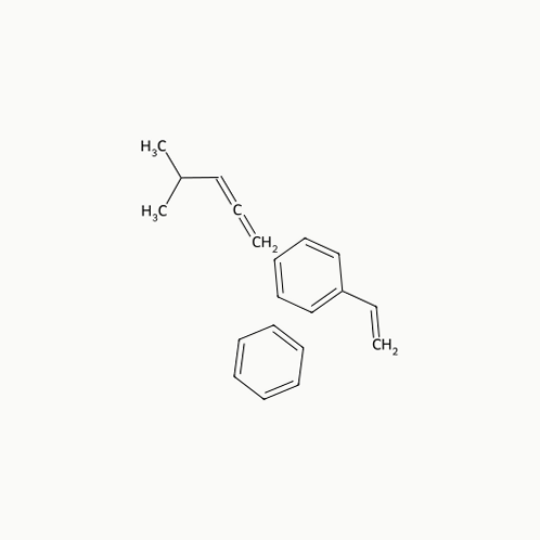 C=C=CC(C)C.C=Cc1ccccc1.c1ccccc1